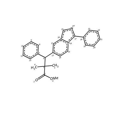 COC(=O)C(C)(C)C(c1ccccc1)c1ccn2c(-c3ccccc3)ncc2c1